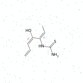 C=C/C=C(O)\C(=C/C)NC(N)=S